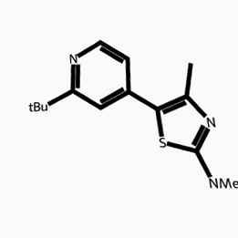 CNc1nc(C)c(-c2ccnc(C(C)(C)C)c2)s1